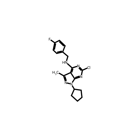 Cc1nn(C2CCCC2)c2nc(Cl)nc(NCc3ccc(F)cc3)c12